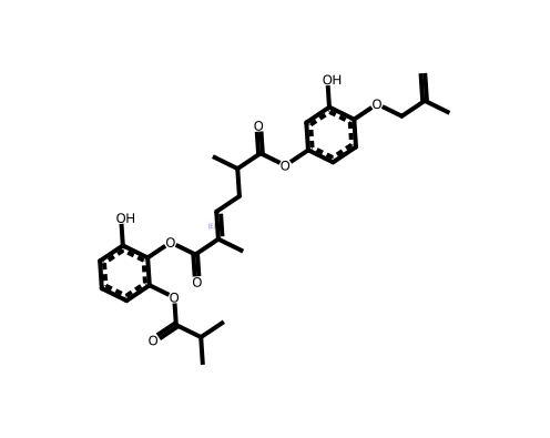 C=C(C)COc1ccc(OC(=O)C(C)C/C=C(\C)C(=O)Oc2c(O)cccc2OC(=O)C(C)C)cc1O